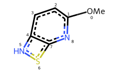 COc1ccc2[nH]sc2n1